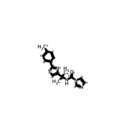 Cc1ccc(-c2nc(C(C)(C)NC(=O)n3ccnc3)cs2)cc1